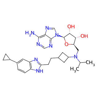 CC(C)N(C[C@H]1O[C@@H](n2cnc3c(N)ncnc32)[C@H](O)[C@@H]1O)C1CC(CCc2nc3cc(C4CC4)ccc3[nH]2)C1